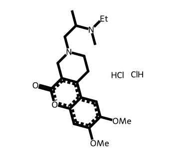 CCN(C)C(C)CN1CCc2c(c(=O)oc3cc(OC)c(OC)cc23)C1.Cl.Cl